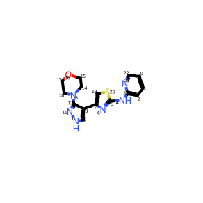 c1ccc(Nc2nc(-c3c[nH]nc3N3CCOCC3)cs2)nc1